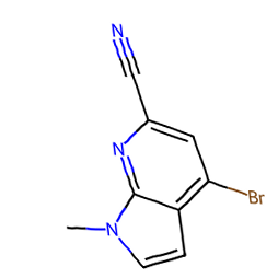 Cn1ccc2c(Br)cc(C#N)nc21